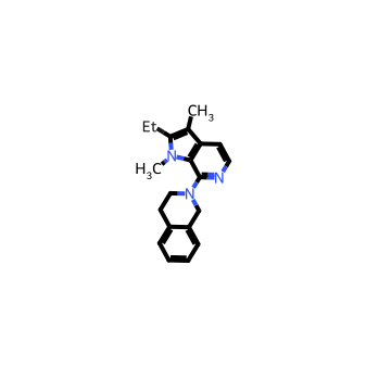 CCc1c(C)c2ccnc(N3CCc4ccccc4C3)c2n1C